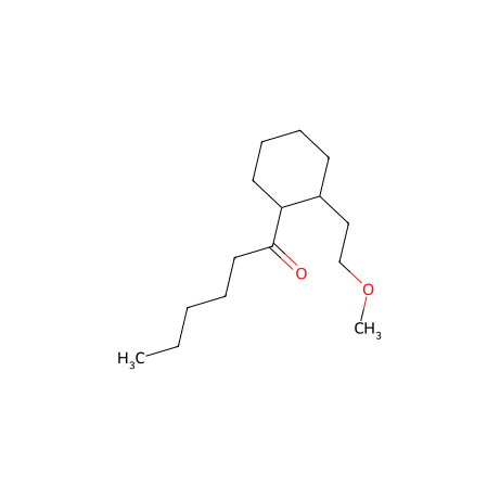 CCCCCC(=O)C1CCCCC1CCOC